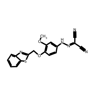 COc1cc(NN=C(C#N)C#N)ccc1OCc1nc2ccccc2s1